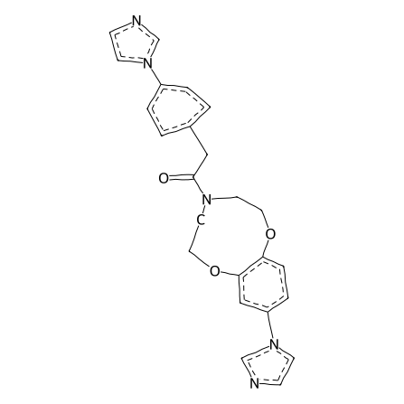 O=C(Cc1ccc(-n2ccnc2)cc1)N1CCOc2ccc(-n3ccnc3)cc2OCC1